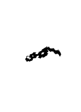 C=C1C(c2cc3c(cc2C)OC(C)(C)C=C3)=CC(C)(CCCCCC)CC1(C)C